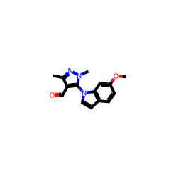 COc1ccc2ccn(-c3c(C=O)c(C)nn3C)c2c1